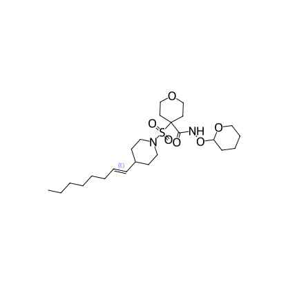 CCCCCC/C=C/C1CCN(S(=O)(=O)C2(C(=O)NOC3CCCCO3)CCOCC2)CC1